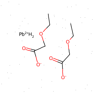 CCOCC(=O)[O-].CCOCC(=O)[O-].[PbH2+2]